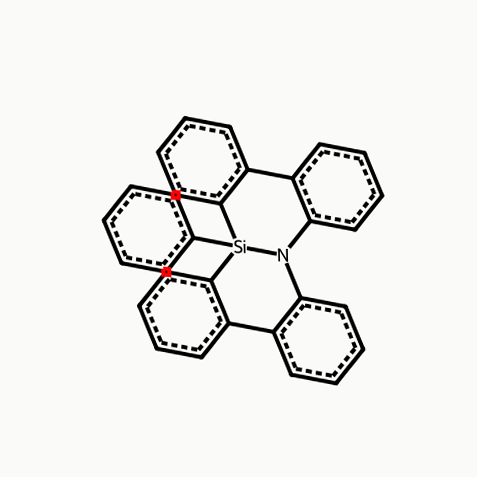 c1ccc([Si]23c4ccccc4-c4ccccc4N2c2ccccc2-c2ccccc23)cc1